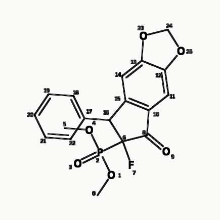 COP(=O)(OC)C1(F)C(=O)c2cc3c(cc2C1c1ccccc1)OCO3